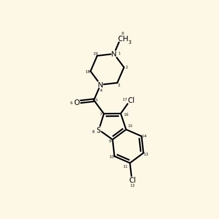 CN1CCN(C(=O)c2sc3cc(Cl)ccc3c2Cl)CC1